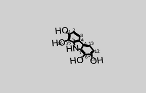 Oc1ccc2c([nH]c3c(O)c(O)ccc32)c1O